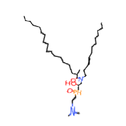 CCCCCCCCC=CCCN(CC(O)C[PH](=O)CCN(C)C)C(=O)C(C)CCCCCCCCCCCCCCCC